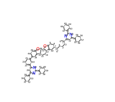 C=C(/C=C\C=C(/C)c1ccc2oc3c(ccc4c5cc(-c6cccc(-c7cc(-c8ccccc8)nc(-c8ccccc8)n7)c6)ccc5oc43)c2c1)c1cc(-c2ccccc2)nc(-c2ccccc2)n1